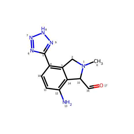 CN1Cc2c(-c3nn[nH]n3)ccc(N)c2C1C=O